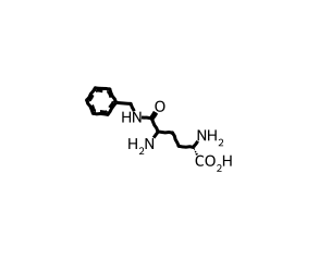 NC(CC[C@H](N)C(=O)O)C(=O)NCc1ccccc1